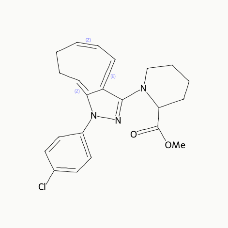 COC(=O)C1CCCCN1c1nn(-c2ccc(Cl)cc2)c2/c1=C\C=C/CC/C=2